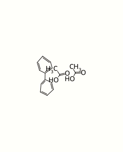 CC(=O)O.CC(=O)O.c1ccc(-c2ccccc2)cc1